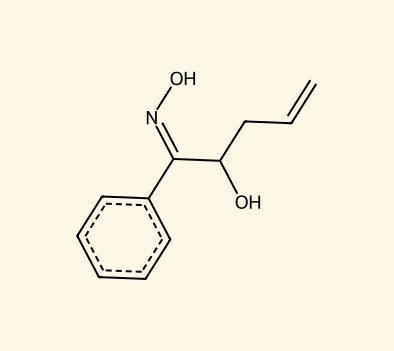 C=CCC(O)C(=NO)c1ccccc1